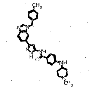 Cc1ccc(Cn2cnc3ccc(-c4cc(NC(=O)c5ccc(NC6CCN(C)CC6)cc5)[nH]n4)cc32)cc1